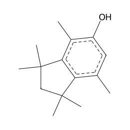 Cc1cc(O)c(C)c2c1C(C)(C)CC2(C)C